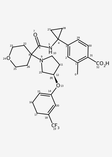 Cc1cc(C2(NC(=O)C3(N4CC[C@@H](OC5=CCCC(C(F)(F)F)=C5)C4)CCOCC3)CC2)ccc1C(=O)O